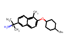 [CH2][C@](C)(N)c1ccc2c(C(F)(F)F)c(OC3CCC(C(C)(C)C)CC3)ccc2c1